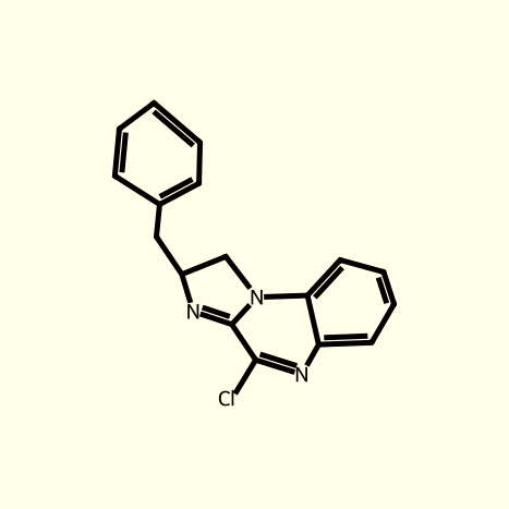 ClC1=Nc2ccccc2N2CC(Cc3ccccc3)N=C12